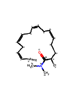 CCCCC/C=C\C/C=C\C/C=C\C/C=C\CCC(CC)C(=O)N(C)C